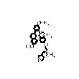 CCN(Cc1ccc(OCCN(C)CC2CCOCC2)cc1)c1cc(OC)ccc1C1CCc2cc(O)ccc2C1